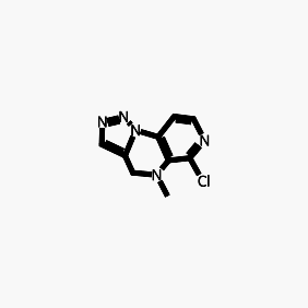 CN1Cc2cnnn2-c2ccnc(Cl)c21